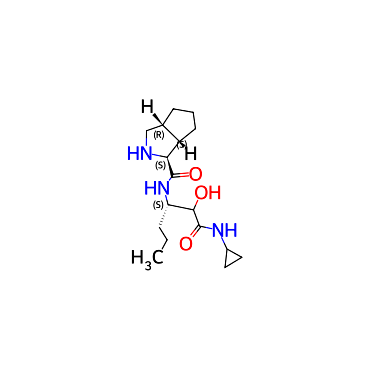 CCC[C@H](NC(=O)[C@H]1NC[C@@H]2CCC[C@@H]21)C(O)C(=O)NC1CC1